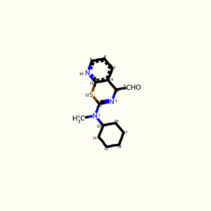 CN(C1=NC(C=O)c2cccnc2S1)C1CCCCC1